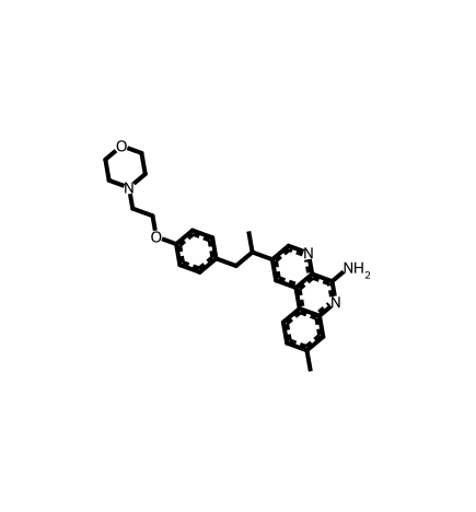 Cc1ccc2c(c1)nc(N)c1ncc(C(C)Cc3ccc(OCCN4CCOCC4)cc3)cc12